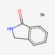 O=C1NCc2ccccc21.[Ni]